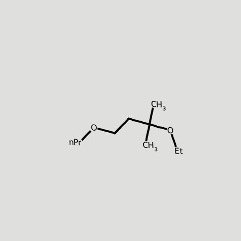 CCCOCCC(C)(C)OCC